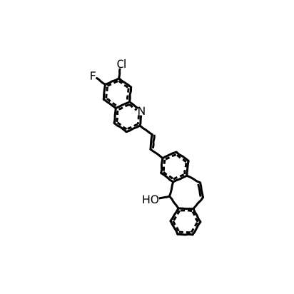 OC1c2ccccc2C=Cc2ccc(/C=C/c3ccc4cc(F)c(Cl)cc4n3)cc21